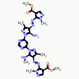 CNc1c(/N=N/c2c(C(=O)OC)cnn2C)c(C)nn1-c1cc(-n2nc(C)c(/N=N/c3c(C(=O)OC)cnn3C)c2N)ncn1